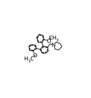 COc1ccccc1-c1cccc(CN2CCCCC2)c1-c1ccccc1OC